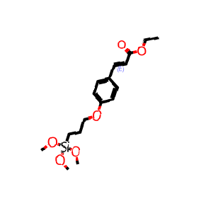 CCOC(=O)/C=C/c1ccc(OCCC[Si](OC)(OC)OC)cc1